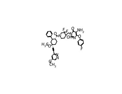 COc1cnnc(C#C[C@@]2(OC)CC[C@@H](C(=O)N3CC[C@](O)(Cn4cnc(Oc5ccc(F)cc5)c(N)c4=O)C(F)(F)C3)C(c3ccccc3)C2)c1